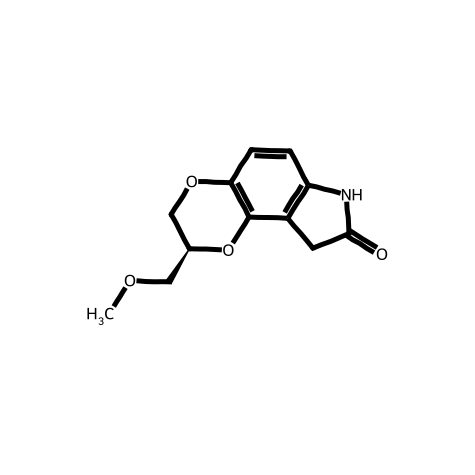 COC[C@H]1COc2ccc3c(c2O1)CC(=O)N3